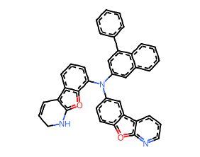 C1=Cc2c(oc3c(N(c4cc(-c5ccccc5)c5ccccc5c4)c4ccc5oc6ncccc6c5c4)cccc23)NC1